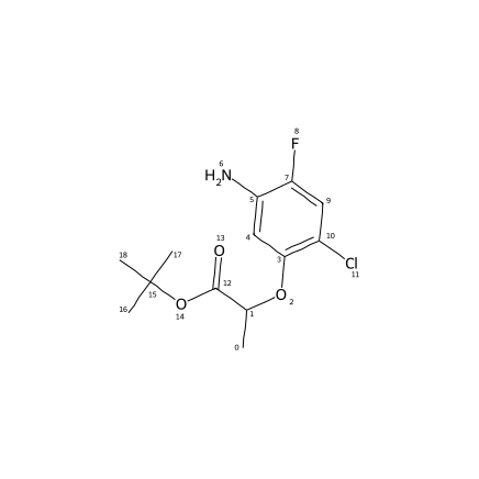 CC(Oc1cc(N)c(F)cc1Cl)C(=O)OC(C)(C)C